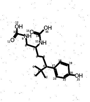 CC(C)(C)C(CCC(CNC(=O)O)NC(=O)O)c1ccc(O)cc1